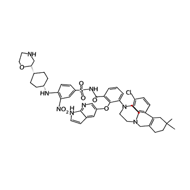 CC1(C)CCC(CN2CCN(c3cccc(C(=O)NS(=O)(=O)c4ccc(N[C@H]5CC[C@@H](C6CNCCO6)CC5)c([N+](=O)[O-])c4)c3Oc3cnc4[nH]ccc4c3)CC2)=C(c2ccc(Cl)cc2)C1